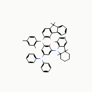 Cc1cc(C(C)(C)C)ccc1N1c2cc(N(c3ccccc3)c3ccccc3)cc3c2B(c2cc(C(C)(C)C)cc4c2N3C2(C)CCCCC42C)c2c1ccc1c2-c2ccccc2C1(C)C